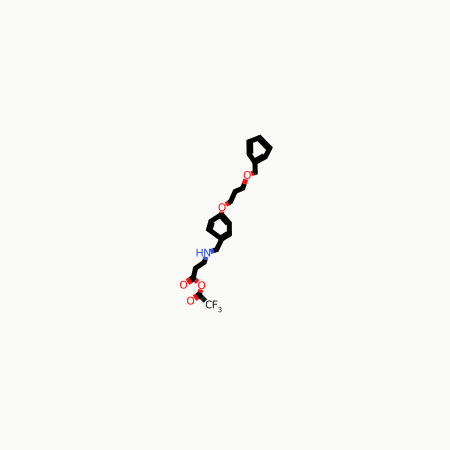 O=C(CCNCc1ccc(OCCCOCc2ccccc2)cc1)OC(=O)C(F)(F)F